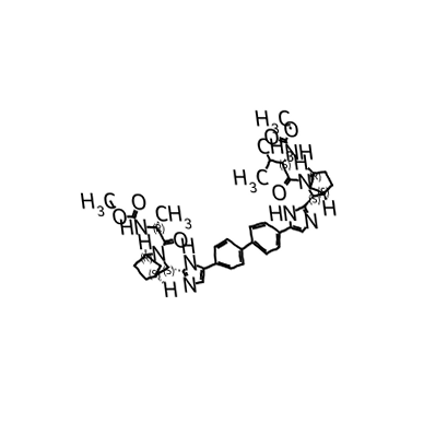 COC(=O)N[C@H](C(=O)N1[C@@H]2CC[C@@H](C2)[C@H]1c1ncc(-c2ccc(-c3ccc(-c4cnc([C@@H]5[C@H]6CC[C@H](C6)N5C(=O)[C@@H](C)NC(=O)OC)[nH]4)cc3)cc2)[nH]1)C(C)C